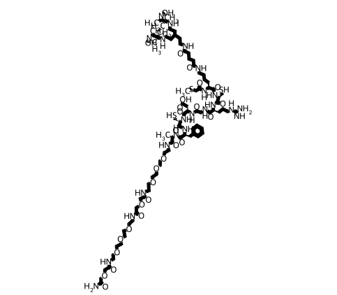 CSCC(=O)N[C@@H](CCCCNC(=O)CCCC(=O)NCCC(CCNC(C)(C)/C(C)=N\O)CCNC(C)(C)/C(C)=N\O)C(=O)N[C@@H](CS)C(=O)N[C@@H](CCCNC(=N)N)C(=O)NCC(=O)N[C@@H](CC(=O)O)C(=O)N[C@@H](CS)C(=O)N[C@@H](Cc1ccccc1)C(=O)N[C@@H](C)C(=O)NCCOCCOCCOCCNC(=O)COCC(=O)NCCOCCOCCOCCNC(=O)COCC(N)=O